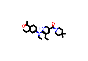 CCC1=C(C(C)=O)CCC(N(CC)C2=C(CC)C=C(C(=O)N3CCC(C)(C)CC3)CN2)=C1